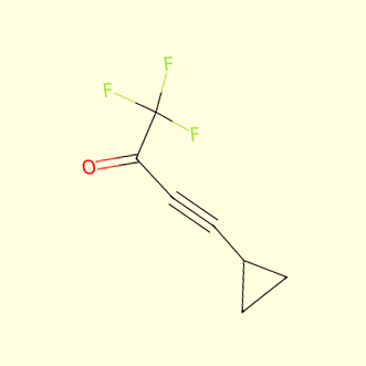 O=C(C#CC1CC1)C(F)(F)F